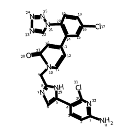 Nc1ccc(-c2cnc(Cn3ccc(-c4cc(Cl)ccc4-n4cnnn4)cc3=O)[nH]2)c(Cl)n1